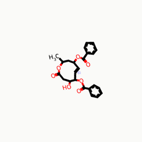 CC1CC(OC(=O)c2ccccc2)/C=C/C(OC(=O)c2ccccc2)C(O)CC(=O)O1